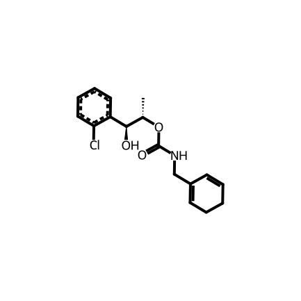 C[C@H](OC(=O)NCC1=CCCC=C1)[C@@H](O)c1ccccc1Cl